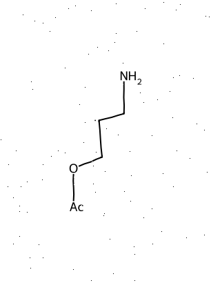 CC(=O)OC[CH]CN